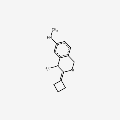 CNc1ccc2c(c1)N(C)C(=C1CCC1)NC2